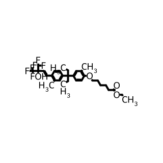 CCOC(=O)CCCCCOc1ccc(C(CC)(CC)c2ccc(C=CC(O)(C(F)(F)F)C(F)(F)F)c(C)c2)cc1C